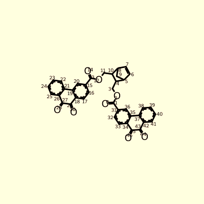 O=C(OCC1C2C=CC(C2)C1COC(=O)c1ccc2c(c1)-c1ccccc1C(=O)C2=O)c1ccc2c(c1)-c1ccccc1C(=O)C2=O